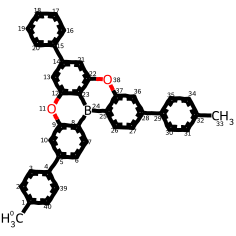 Cc1ccc(-c2ccc3c(c2)Oc2cc(-c4ccccc4)cc4c2B3c2ccc(-c3ccc(C)cc3)cc2O4)cc1